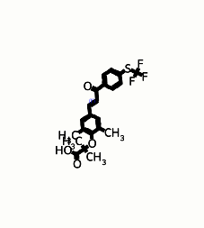 Cc1cc(/C=C/C(=O)c2ccc(SC(F)(F)F)cc2)cc(C)c1OC(C)(C)C(=O)O